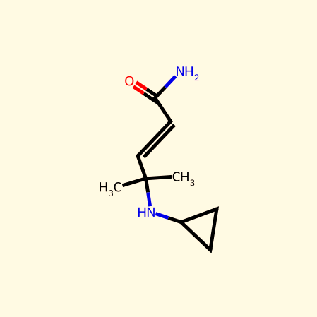 CC(C)(/C=C/C(N)=O)NC1CC1